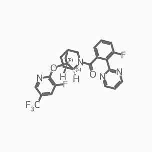 O=C(c1cccc(F)c1-c1ncccn1)N1CC2CC[C@H]1[C@H](Oc1ncc(C(F)(F)F)cc1F)C2